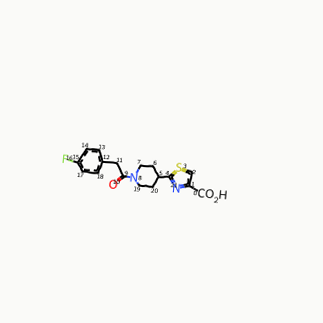 O=C(O)c1csc(C2CCN(C(=O)Cc3ccc(F)cc3)CC2)n1